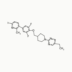 CCc1cnc(N2CCC(COc3c(F)cc(-c4ccc(I)nc4C)cc3F)CC2)nc1